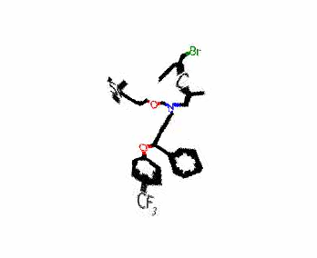 CC(=C=C(C)CN(CCC(Oc1ccc(C(F)(F)F)cc1)c1ccccc1)COCC[Si](C)(C)C)CBr